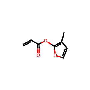 C=CC(=O)Oc1occc1C